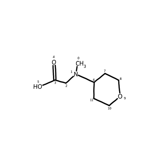 CN(CC(=O)O)C1CCOCC1